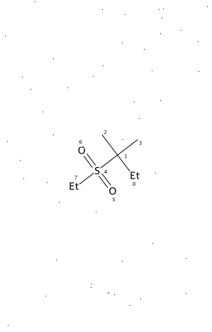 CCC(C)(C)S(=O)(=O)CC